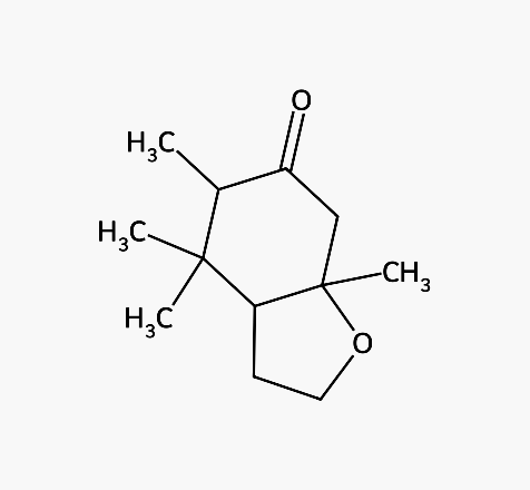 CC1C(=O)CC2(C)OCCC2C1(C)C